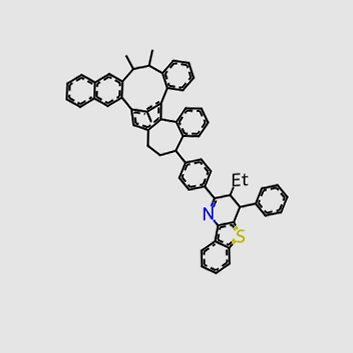 CCC1C(c2ccc(C3CCc4cc5c(C)c(c4-c4ccccc43)-c3ccccc3C(C)C(C)c3cc4ccccc4cc3-5)cc2)=Nc2c(sc3ccccc23)C1c1ccccc1